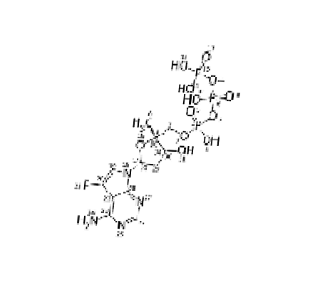 C[C@]1(COP(=O)(O)OP(=O)(O)OP(=O)(O)O)O[C@@H](n2cc(F)c3c(N)ncnc32)C[C@@H]1O